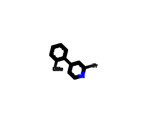 COc1ccccc1-c1ccnc(C(C)C)c1